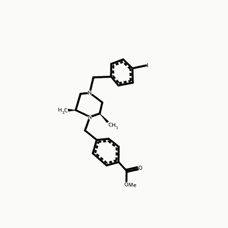 COC(=O)c1ccc(CN2[C@H](C)CN(Cc3ccc(I)cc3)C[C@@H]2C)cc1